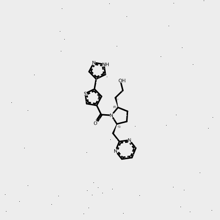 O=C(c1csc(-c2cn[nH]c2)c1)N1[C@@H](CCO)CC[C@H]1Cc1ncccn1